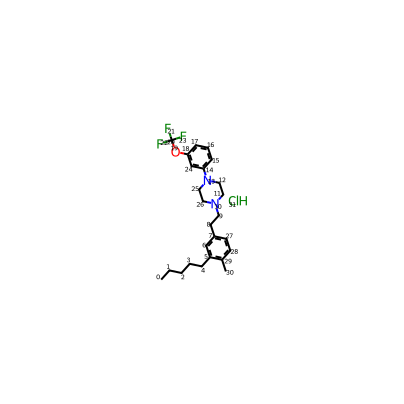 CCCCCc1cc(CCN2CCN(c3cccc(OC(F)(F)F)c3)CC2)ccc1C.Cl